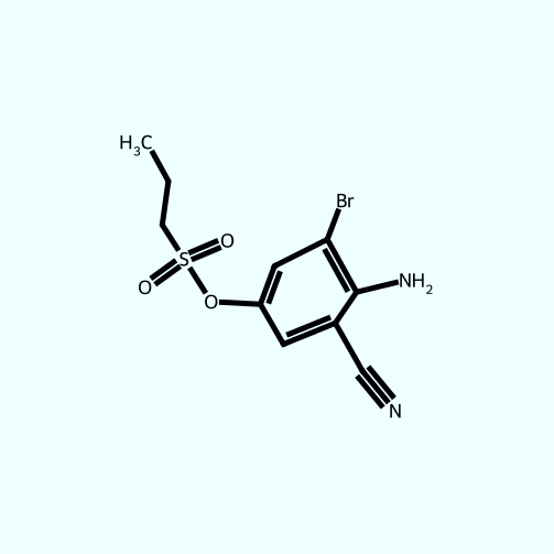 CCCS(=O)(=O)Oc1cc(Br)c(N)c(C#N)c1